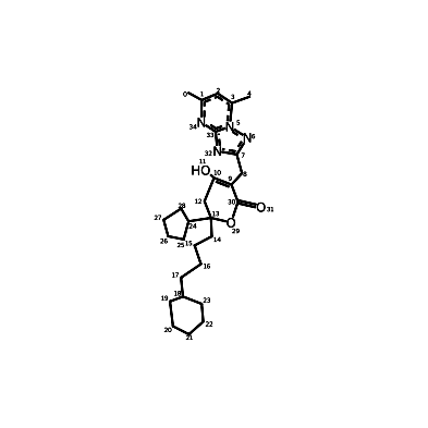 Cc1cc(C)n2nc(CC3=C(O)CC(CCCCC4CCCCC4)(C4CCCC4)OC3=O)nc2n1